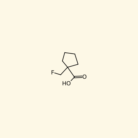 O=C(O)C1(CF)CCCC1